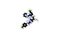 CC(C(=O)N(C)c1ccc(C(F)(F)F)nc1CN1CCCCC1)c1cnc(C(=O)Nc2ccc(C(F)(F)F)cc2)nc1